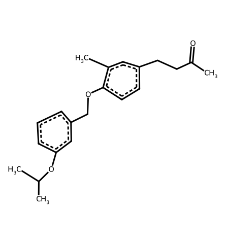 CC(=O)CCc1ccc(OCc2cccc(OC(C)C)c2)c(C)c1